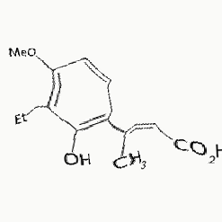 CCc1c(OC)ccc(C(C)=CC(=O)O)c1O